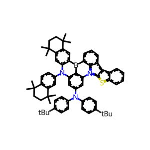 CC(C)(C)c1ccc(N(c2ccc(C(C)(C)C)cc2)c2cc3c4c(c2)-n2c5sc6ccccc6c5c5cccc(c52)B4c2cc4c(cc2N3c2ccc3c(c2)C(C)(C)CCC3(C)C)C(C)(C)CCC4(C)C)cc1